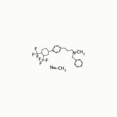 CC#N.CN(CCCc1ccc(C2CCC(C(F)(F)F)C(C(F)(F)F)C2)cc1)Cc1ccccc1